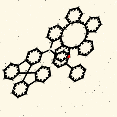 c1ccc(-c2ccc(N(c3ccc4c(c3)C3(c5ccccc5-c5ccccc53)c3ccccc3-4)c3cccc4c5ccccc5c5ccccc5c5ccccc5c5ccccc5c34)cc2)cc1